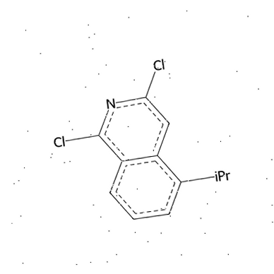 CC(C)c1cccc2c(Cl)nc(Cl)cc12